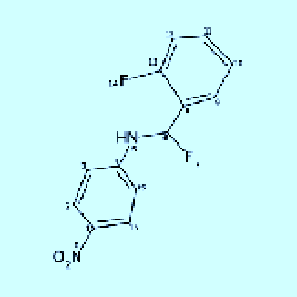 O=[N+]([O-])c1ccc(NC(F)c2ccccc2F)cc1